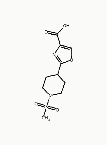 CS(=O)(=O)N1CCC(c2nc(C(=O)O)co2)CC1